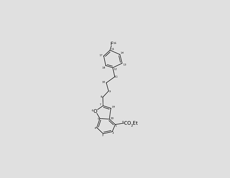 CCOC(=O)c1cccc2oc(CCCCc3ccc(F)cc3)cc12